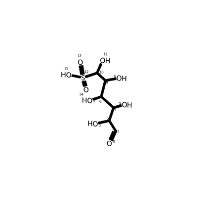 O=CC(O)C(O)C(O)C(O)C(O)S(=O)(=O)O